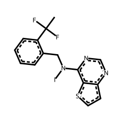 CC(F)(F)c1ccccc1CN(I)c1ncnc2ccsc12